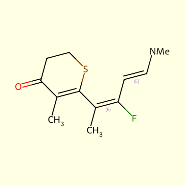 CN/C=C/C(F)=C(/C)C1=C(C)C(=O)CCS1